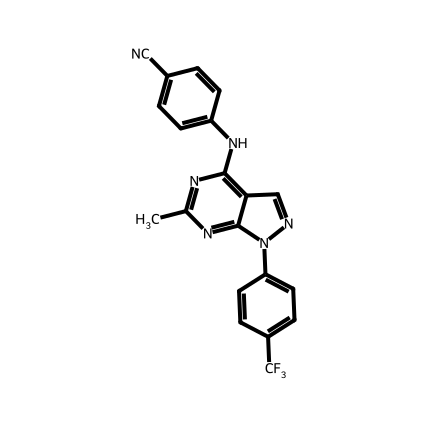 Cc1nc(Nc2ccc(C#N)cc2)c2cnn(-c3ccc(C(F)(F)F)cc3)c2n1